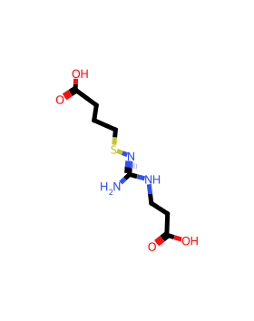 N/C(=N\SCCCC(=O)O)NCCC(=O)O